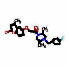 Cc1cc(=O)oc2ccc(OCC(=O)N3CC(C)N(Cc4ccc(F)cc4)CC3C)cc12